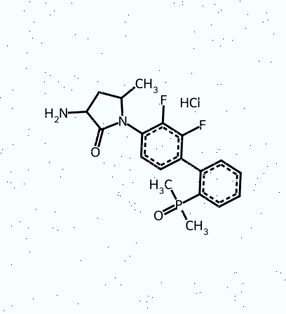 CC1CC(N)C(=O)N1c1ccc(-c2ccccc2P(C)(C)=O)c(F)c1F.Cl